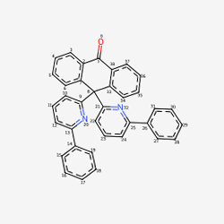 O=C1c2ccccc2C(c2cccc(-c3ccccc3)n2)(c2cccc(-c3ccccc3)n2)c2ccccc21